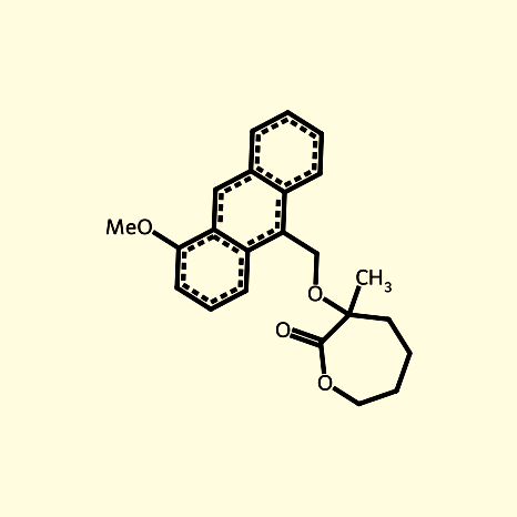 COc1cccc2c(COC3(C)CCCCOC3=O)c3ccccc3cc12